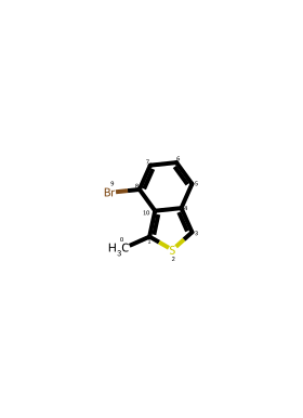 Cc1scc2cccc(Br)c12